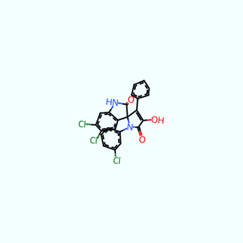 O=C1C(O)=C(c2ccccc2)C2(C(=O)Nc3cc(Cl)c(Cl)cc32)N1c1cccc(Cl)c1